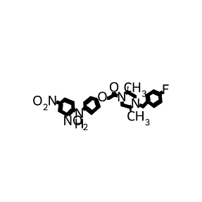 C[C@@H]1CN(Cc2ccc(F)cc2)[C@@H](C)CN1C(=O)COc1ccc(Nc2ccc([N+](=O)[O-])cc2[N+](=O)[O-])cc1